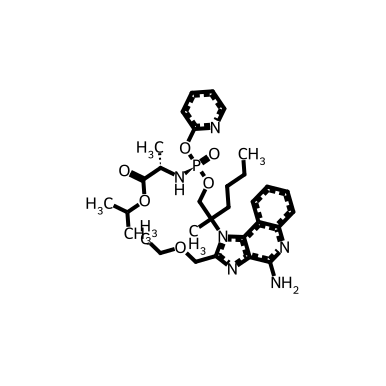 CCCCC(C)(CO[P@](=O)(N[C@@H](C)C(=O)OC(C)C)Oc1ccccn1)n1c(COCC)nc2c(N)nc3ccccc3c21